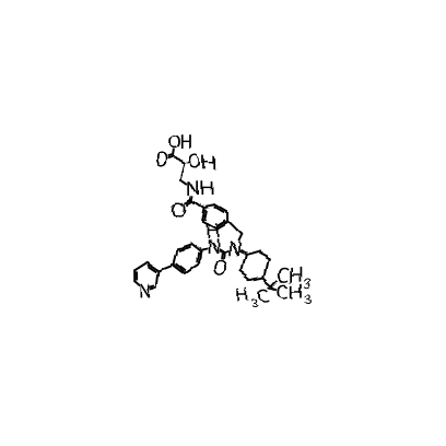 CC(C)(C)C1CCC(N(Cc2ccc(C(=O)NC[C@@H](O)C(=O)O)cc2)C(=O)Nc2ccc(-c3cccnc3)cc2)CC1